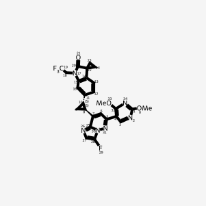 COc1ncc(-c2cc([C@H]3C[C@@H]3c3ccc4c(c3)N(CC(F)(F)F)C(=O)C43CC3)c3ncc(F)n3n2)c(OC)n1